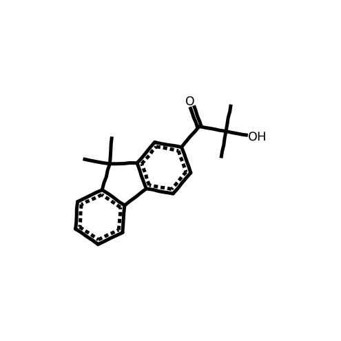 CC(C)(O)C(=O)c1ccc2c(c1)C(C)(C)c1ccccc1-2